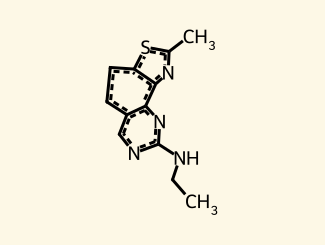 CCNc1ncc2ccc3sc(C)nc3c2n1